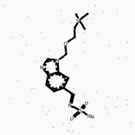 CC(C)(C)S(=O)(=O)N=Cc1ccc2ncn(COCC[Si](C)(C)C)c2c1